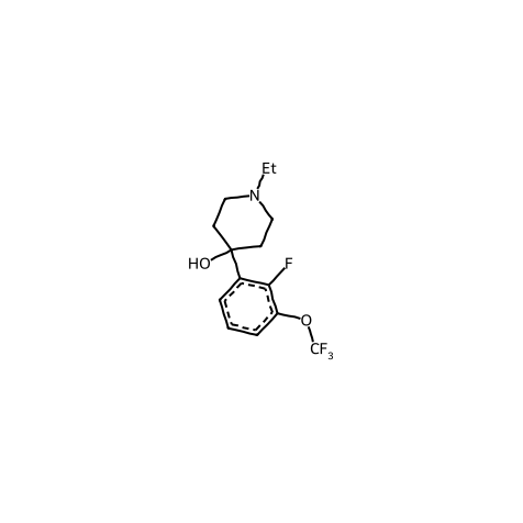 CCN1CCC(O)(c2cccc(OC(F)(F)F)c2F)CC1